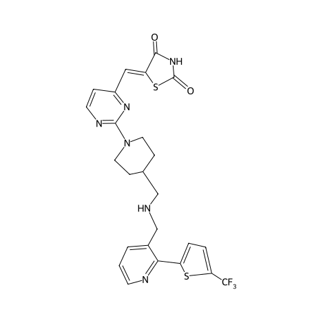 O=C1NC(=O)C(=Cc2ccnc(N3CCC(CNCc4cccnc4-c4ccc(C(F)(F)F)s4)CC3)n2)S1